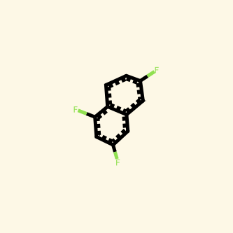 Fc1[c]c2cc(F)cc(F)c2cc1